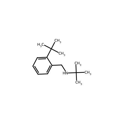 CC(C)(C)NCc1ccccc1C(C)(C)C